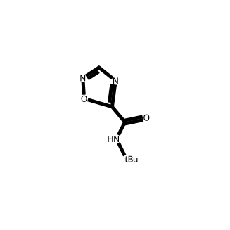 CC(C)(C)NC(=O)c1ncno1